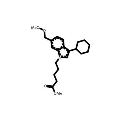 COOCc1ccc2c(C3CCCCC3)cn(CCCCC(=O)OC)c2c1